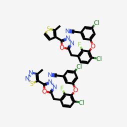 Cc1nnsc1-c1nnc(Cc2ccc(Cl)c(Oc3cc(Cl)cc(C#N)c3)c2F)o1.Cc1sccc1-c1nnc(Cc2ccc(Cl)c(Oc3cc(Cl)cc(C#N)c3)c2F)o1